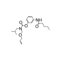 C=CCOCN(CC(C)C)C(=O)Oc1cccc(NC(=O)CCCC)c1